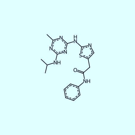 Cc1nc(Nc2ncc(CC(=O)Nc3ccccc3)s2)nc(NC(C)C)n1